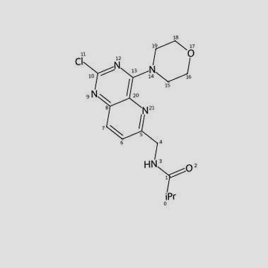 CC(C)C(=O)NCc1ccc2nc(Cl)nc(N3CCOCC3)c2n1